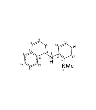 CNC1=C(NC2CC=Cc3ccccc32)C=CCC1